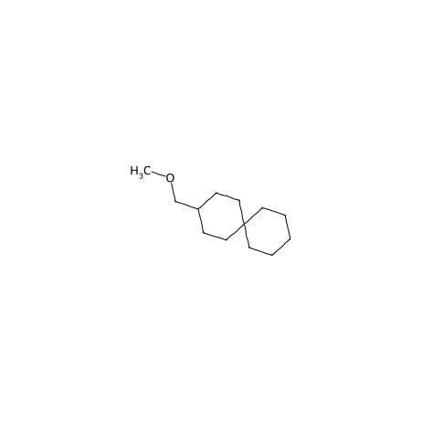 COCC1CCC2(CCCCC2)CC1